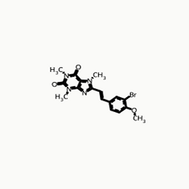 COc1ccc(C=Cc2nc3c(c(=O)n(C)c(=O)n3C)n2C)cc1Br